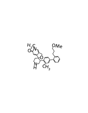 COCCCc1ccccc1-c1ccc(C2CNCCC23OCc2cn(C)c(=O)cc23)c(C)c1